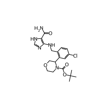 CC(C)(C)OC(=O)N1CCOCC1c1cc(Cl)ccc1CNc1nc[nH]c1C(N)=O